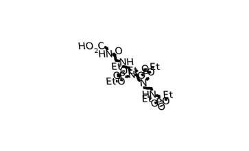 CCOP(=O)(CNCCN(CCN(CCNCC(=O)NCC(=O)O)CP(=O)(OCC)OCC)CP(=O)(OCC)OCC)OCC